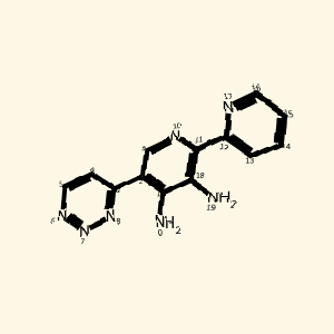 Nc1c(-c2ccnnn2)cnc(-c2ccccn2)c1N